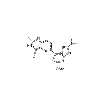 COc1cc(-c2ccc3nc(C)[nH]c(=O)c3c2)n2cc(N(C)C)nc2c1